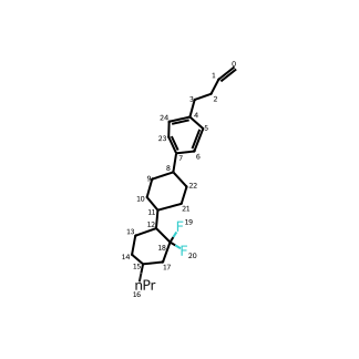 C=CCCc1ccc(C2CCC(C3CCC(CCC)CC3(F)F)CC2)cc1